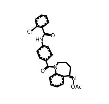 CC(=O)O/N=C1/CCCN(C(=O)c2ccc(NC(=O)c3ccccc3Cl)cc2)c2ccccc21